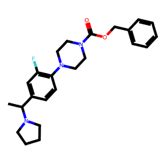 CC(c1ccc(N2CCN(C(=O)OCc3ccccc3)CC2)c(F)c1)N1CCCC1